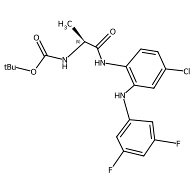 C[C@H](NC(=O)OC(C)(C)C)C(=O)Nc1ccc(Cl)cc1Nc1cc(F)cc(F)c1